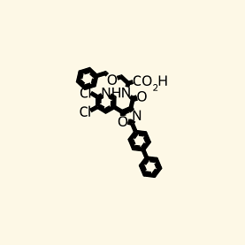 O=C(NC(COCc1ccccc1)C(=O)O)c1nc(-c2ccc(-c3ccccc3)cc2)oc1-c1cnc(Cl)c(Cl)c1